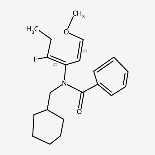 CC/C(F)=C(\C=C/OC)N(CC1CCCCC1)C(=O)c1ccccc1